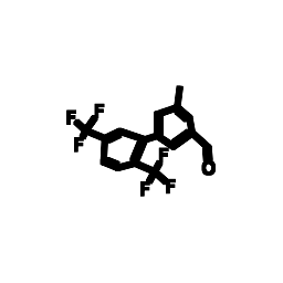 Cc1cc(C=O)cc(-c2cc(C(F)(F)F)ccc2C(F)(F)F)c1